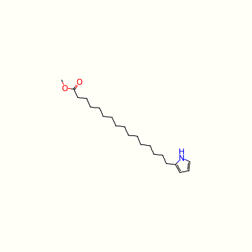 COC(=O)CCCCCCCCCCCCCCCc1ccc[nH]1